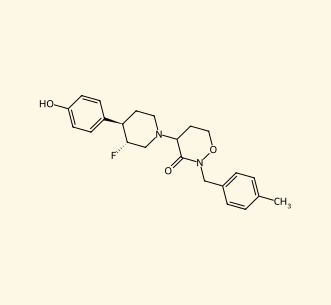 Cc1ccc(CN2OCCC(N3CC[C@H](c4ccc(O)cc4)[C@@H](F)C3)C2=O)cc1